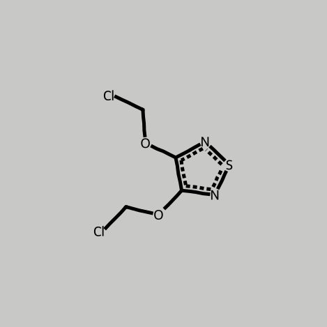 ClCOc1nsnc1OCCl